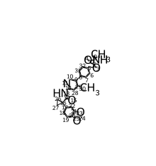 CNS(=O)(=O)c1ccc(-c2cnc(NC(=O)C3(c4ccc5c(c4)OCO5)CC3)cc2C)cc1